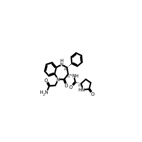 NC(=O)CN1C(=O)[C@@H](NC(=O)[C@@H]2CCC(=O)N2)[C@@H](c2ccccc2)Nc2ccccc21